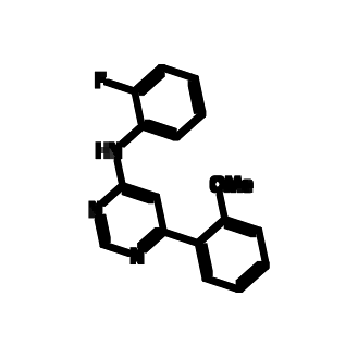 COc1ccccc1-c1cc(Nc2ccccc2F)ncn1